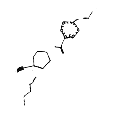 CCCCC[C@]1(C#N)CC[C@H](OC(=O)c2ccc(OCC)cc2)CC1